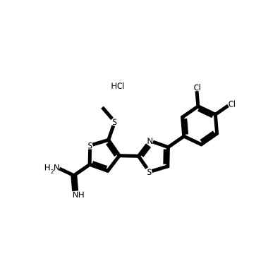 CSc1sc(C(=N)N)cc1-c1nc(-c2ccc(Cl)c(Cl)c2)cs1.Cl